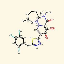 CCN1C(=O)c2c(O)c(=O)c(-c3nnc(Cc4cc(F)c(F)cc4F)s3)cn2N2C[C@@H](C)CCC[C@@H]12